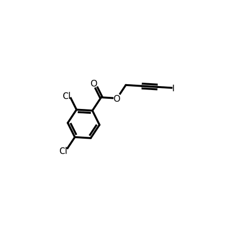 O=C(OCC#CI)c1ccc(Cl)cc1Cl